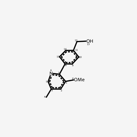 COc1cc(C)cnc1-c1ccc(CO)cc1